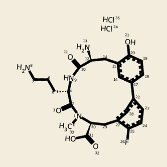 CN1C(=O)[C@H](CCCN)NC(=O)[C@@H](N)Cc2cc(ccc2O)-c2ccc(F)c(c2)C[C@H]1C(=O)O.Cl.Cl